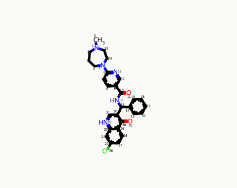 CN1CCCN(c2ccc(C(=O)NC(c3ccccc3)c3c[nH]c4cc(Cl)ccc4c3=O)cn2)CC1